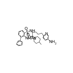 CC(=O)Nc1c(-c2ccccc2)cccc1S(=O)(=O)NC(CCCc1ccc(N)cn1)C(=O)N1CCC(C)CC1